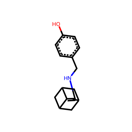 Oc1ccc(CNC2=C3C4CC(C2)CC3C4)cc1